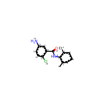 CCc1cccc(C)c1NC(=O)c1cc(N)ccc1Cl